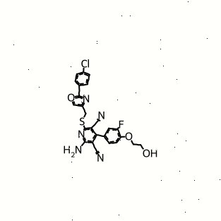 N#Cc1c(N)nc(SCc2coc(-c3ccc(Cl)cc3)n2)c(C#N)c1-c1ccc(OCCO)c(F)c1